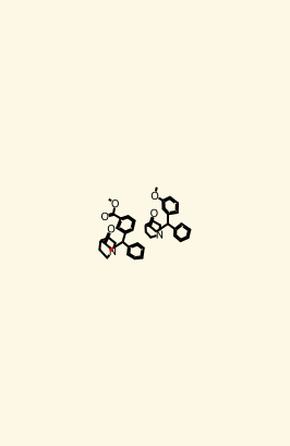 COC(=O)c1cccc(C(c2ccccc2)C2C(=O)C3CCN2CC3)c1.COc1cccc(C(c2ccccc2)C2C(=O)C3CCN2CC3)c1